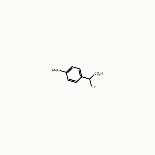 CCCC(C(=O)O)c1ccc(OC)cc1